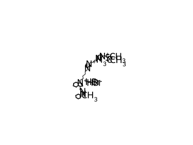 Br.Br.CN(/N=C/c1cc[n+](CCCCCCn2cc[n+](CCCCn3cc[n+](CCC[Si](C)(C)C)c3)c2)c2ccccc12)c1ccccc1